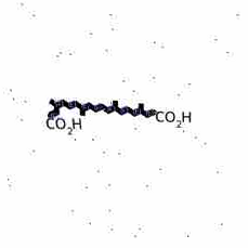 CC(=C/C=C/C(C)=C/C=C/C=C(C)/C=C/C=C(C)/C=C/C(=O)O)/C=C/C(=O)O